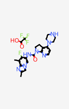 Cc1cn2cc(NC(=O)N3CCc4c(N5CCNCC5)ccnc43)c(F)c(C)c2n1.O=C(O)C(F)(F)F